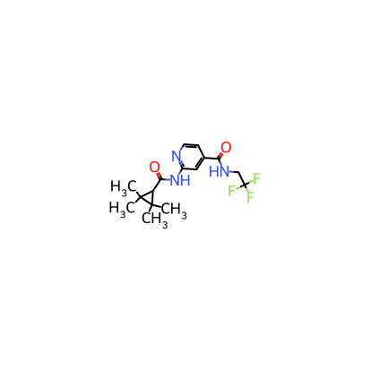 CC1(C)C(C(=O)Nc2cc(C(=O)NCC(F)(F)F)ccn2)C1(C)C